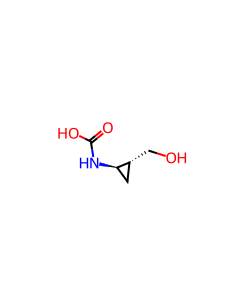 O=C(O)N[C@@H]1C[C@H]1CO